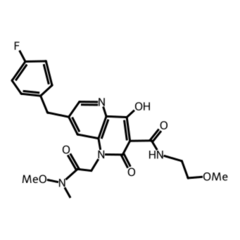 COCCNC(=O)c1c(O)c2ncc(Cc3ccc(F)cc3)cc2n(CC(=O)N(C)OC)c1=O